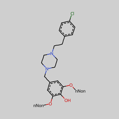 CCCCCCCCCOc1cc(CN2CCN(CCc3ccc(Cl)cc3)CC2)cc(OCCCCCCCCC)c1O